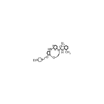 CCN1CCN(CCOc2ccc3cc2COC/C=C\CN(C(=O)Nc2c(C)cccc2C)c2ccnc(n2)N3)CC1